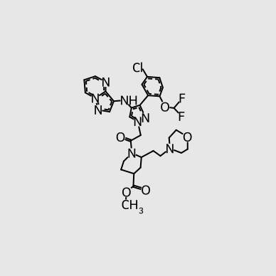 COC(=O)C1CCN(C(=O)Cn2cc(Nc3cnn4cccnc34)c(-c3cc(Cl)ccc3OC(F)F)n2)C(CCN2CCOCC2)C1